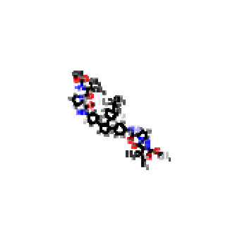 COC(=O)N[C@H](C(=O)N1CCC[C@H]1C(=O)Nc1ccc(C2=C(c3ccc(C(C)(C)C)cc3)C(c3ccc(NC(=O)[C@@H]4CCCN4C(=O)[C@@H](NC(=O)OC)C(C)C)cc3)CC2)cc1)C(C)C